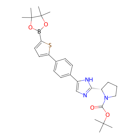 CC(C)(C)OC(=O)N1CCC[C@H]1c1ncc(-c2ccc(-c3ccc(B4OC(C)(C)C(C)(C)O4)s3)cc2)[nH]1